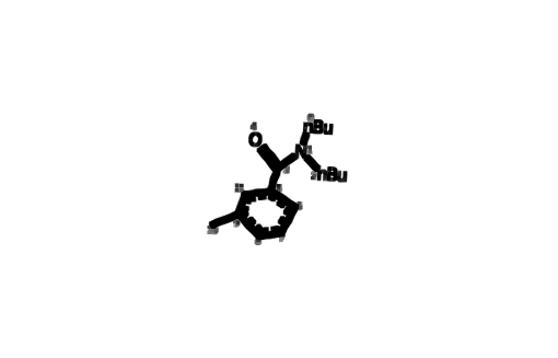 CCCCN(CCCC)C(=O)c1cccc(C)c1